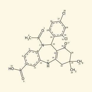 CC(=O)N1c2ccc(C(=O)O)cc2NC2=C(C(=O)CC(C)(C)C2)C1c1ccc(Cl)cc1Cl